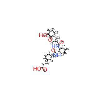 O=C(O)CCc1cccc(NC(=O)c2ccccc2NC(=O)C2=Cc3cccc(O)c3OC2)c1